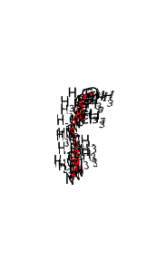 CC(C)C1=C2[C@H]3CC[C@@H]4[C@@]5(C)CC[C@H](OC(=O)CC(C)(C)C(=O)O)C(C)(C)[C@@H]5CC[C@@]4(C)[C@]3(C)CC[C@@]2(Cc2nnc(-c3ccc(C#N)c(CC(C)(CC(=O)O[C@H]4CC[C@]5(C)[C@H]6CC[C@@H]7C8=C(C(C)C)C(=O)C[C@]8(Cc8nnc(-c9ncc(C#N)cn9)n8C)CC[C@@]7(C)[C@]6(C)CC[C@]56N=C[C@]46C)C(=O)O)n3)n2C)CC1=O